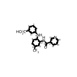 O=C(O)c1cccc(Nc2ccc(C(F)(F)F)cc2NC(=O)c2cccnc2)c1